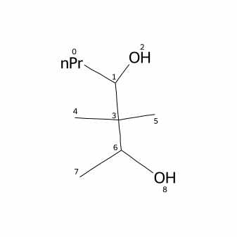 CCCC(O)C(C)(C)C(C)O